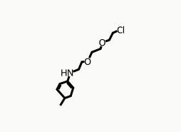 CC1C=CC(NCCOCCOCCCl)=CC1